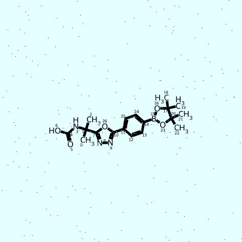 CC(C)(NC(=O)O)c1nnc(-c2ccc(B3OC(C)(C)C(C)(C)O3)cc2)o1